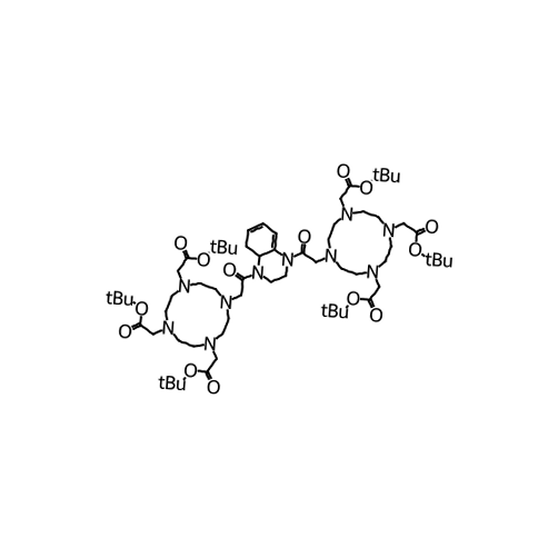 CC(C)(C)OC(=O)CN1CCN(CC(=O)OC(C)(C)C)CCN(CC(=O)N2CCN(C(=O)CN3CCN(CC(=O)OC(C)(C)C)CCN(CC(=O)OC(C)(C)C)CCN(CC(=O)OC(C)(C)C)CC3)C3CC=CC=C32)CCN(CC(=O)OC(C)(C)C)CC1